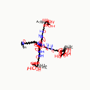 CC(=O)NC1C(OCCCCC(=O)NCCCNC(=O)CCOCC(COCCC(=O)NCCCNC(=O)CCCCOC2OC(CO)C(O)C(O)C2NC(C)=O)(COCCC(=O)NCCCNC(=O)CCCCOC2OC(CO)C(O)C(O)C2NC(C)=O)NC(=O)CCCCCCCCCCC(=O)N2CCC[C@H]2CCC(C)C)OC(CO)C(O)C1O